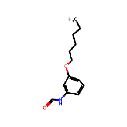 CCCCCCOc1cccc(NC=O)c1